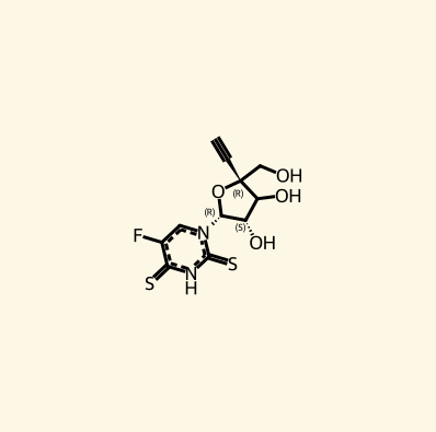 C#C[C@]1(CO)O[C@@H](n2cc(F)c(=S)[nH]c2=S)[C@@H](O)C1O